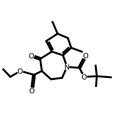 CCOC(=O)C1CCN(C(=O)OC(C)(C)C)C2=C(C)CC(C)C=C2C1=O